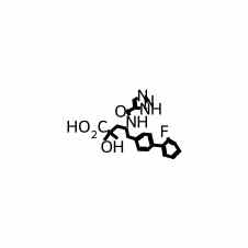 CC(CO)(CC(Cc1ccc(-c2ccccc2F)cc1)NC(=O)c1cnn[nH]1)C(=O)O